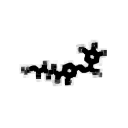 O=C(NNC(=S)NCC(F)(F)F)c1ccc(/C=C/C(c2cc(Cl)c(Cl)c(Cl)c2)C(F)(F)F)cc1Br